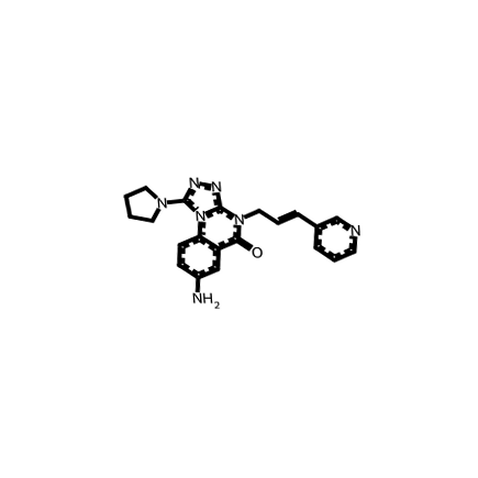 Nc1ccc2c(c1)c(=O)n(CC=Cc1cccnc1)c1nnc(N3CCCC3)n21